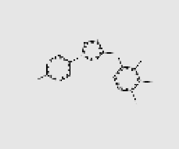 COc1ncc(-n2ccc(Oc3ccc(N)c(F)c3Cl)n2)cn1